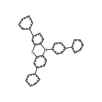 c1ccc(-c2ccc(N3c4ccc(-c5ccccc5)cc4Sc4cc(-c5ccccc5)ccc43)cc2)cc1